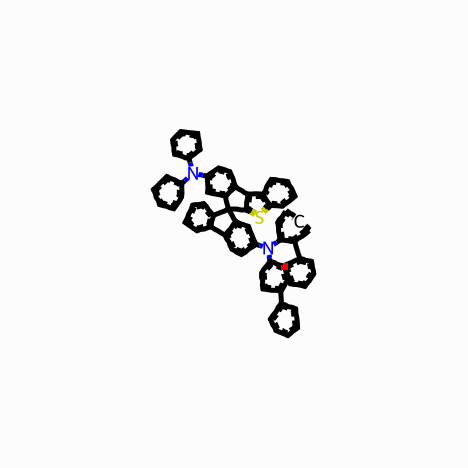 c1ccc(-c2ccc(N(c3ccc4c(c3)C3(c5ccccc5-4)c4cc(N(c5ccccc5)c5ccccc5)ccc4-c4c3sc3ccccc43)c3ccccc3-c3ccccc3)cc2)cc1